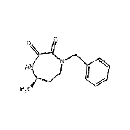 C[C@@H]1CCN(Cc2ccccc2)C(=O)C(=O)N1